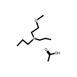 CC(=O)O.CCCN(CCC)CCOC